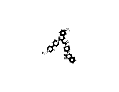 CN1CCC(C2CCN(C(=O)C(CC(=O)N3CCC(N4Cc5ccccc5NC4=O)CC3)Cc3cccc(C(F)(F)F)c3)CC2)CC1